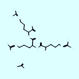 CC(=O)O.NC(N)=NCCCC(N)C(=O)NC(CCCN=C(N)N)C(=O)NC(CCCN=C(N)N)C(=O)O